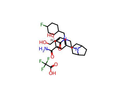 NC(=O)c1cccc(C2CC3CCC(C2)N3CCN(CC2CCC(F)CC2)C(=O)[C@@H](O)CO)c1.O=C(O)C(F)(F)F